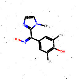 Cn1ccnc1C(=NO)c1cc(C(C)(C)C)c(O)c(C(C)(C)C)c1